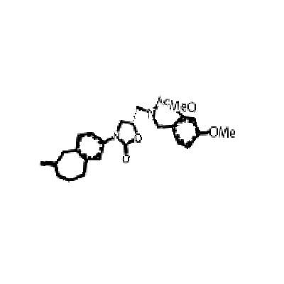 C=C1CCCc2cc(N3C[C@H](CN(Cc4ccc(OC)cc4OC)C(C)=O)OC3=O)ccc2C1